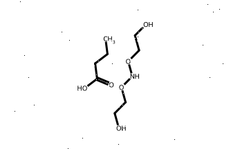 CCCC(=O)O.OCCONOCCO